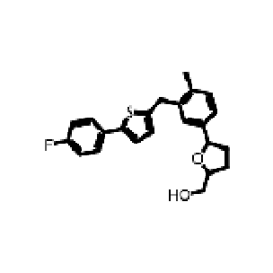 Cc1ccc(C2CCC(CO)O2)cc1Cc1ccc(-c2ccc(F)cc2)s1